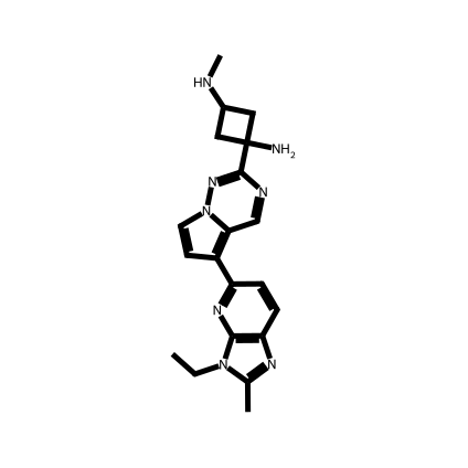 CCn1c(C)nc2ccc(-c3ccn4nc(C5(N)CC(NC)C5)ncc34)nc21